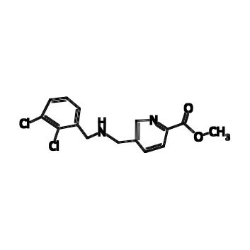 COC(=O)c1ccc(CNCc2cccc(Cl)c2Cl)cn1